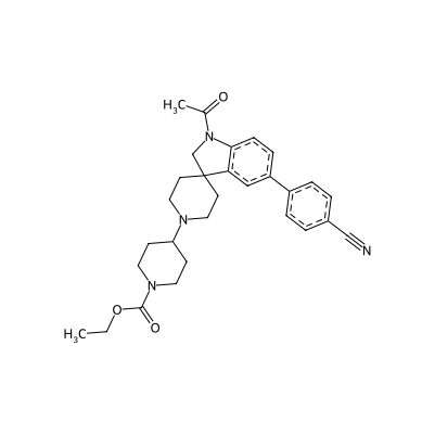 CCOC(=O)N1CCC(N2CCC3(CC2)CN(C(C)=O)c2ccc(-c4ccc(C#N)cc4)cc23)CC1